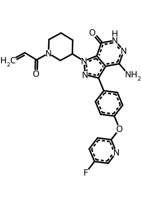 C=CC(=O)N1CCCC(n2nc(-c3ccc(Oc4ccc(F)cn4)cc3)c3c(N)n[nH]c(=O)c32)C1